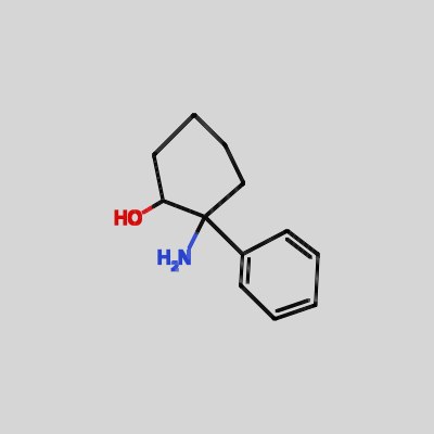 NC1(c2ccccc2)CCCCC1O